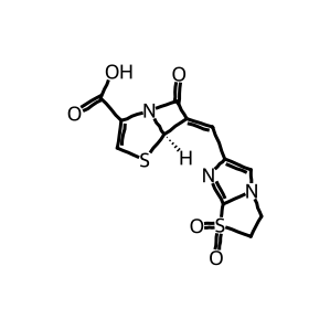 O=C(O)C1=CS[C@@H]2/C(=C\c3cn4c(n3)S(=O)(=O)CC4)C(=O)N12